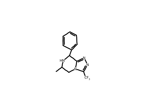 CC1Cn2c(nnc2C(F)(F)F)C(c2ccccc2)N1